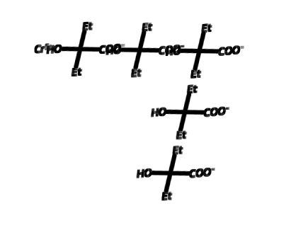 CCC(O)(CC)C(=O)[O-].CCC(O)(CC)C(=O)[O-].CCC(O)(CC)C(=O)[O-].CCC(O)(CC)C(=O)[O-].CCC(O)(CC)C(=O)[O-].[Cr+5]